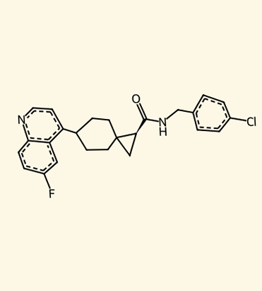 O=C(NCc1ccc(Cl)cc1)[C@H]1CC12CCC(c1ccnc3ccc(F)cc13)CC2